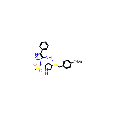 COc1ccc(CS[C@H]2CN[C@H](C(n3nnc(-c4ccccc4)c3N)S(C)(=O)=O)C2)cc1